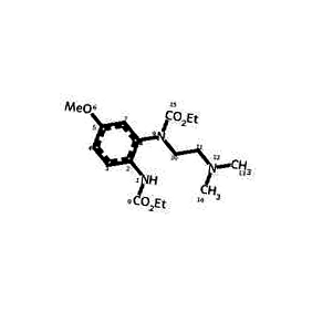 CCOC(=O)Nc1ccc(OC)cc1N(CCN(C)C)C(=O)OCC